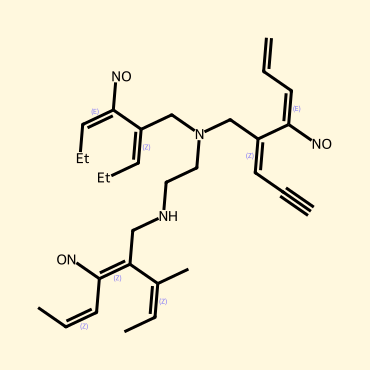 C#C/C=C(CN(CCNCC(/C(C)=C\C)=C(/C=C\C)N=O)CC(=C/CC)/C(=C\CC)N=O)\C(=C/C=C)N=O